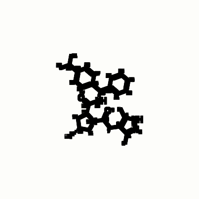 Cc1n[nH]c(C)c1CC(=O)N1C[C@H](F)C[C@H]1C(=O)N[C@@H](c1ccccc1)c1ccc(C(C)C)cc1